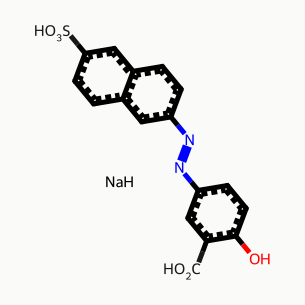 O=C(O)c1cc(N=Nc2ccc3cc(S(=O)(=O)O)ccc3c2)ccc1O.[NaH]